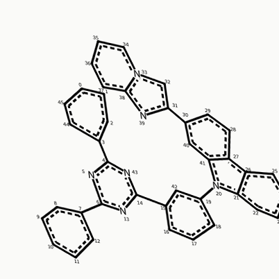 c1ccc(-c2nc(-c3ccccc3)nc(-c3cccc(-n4c5ccccc5c5ccc(-c6cn7ccccc7n6)cc54)c3)n2)cc1